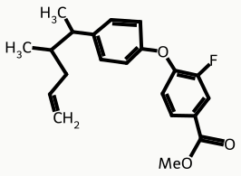 C=CCC(C)C(C)c1ccc(Oc2ccc(C(=O)OC)cc2F)cc1